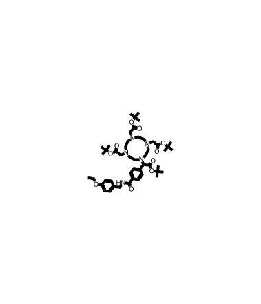 CCOc1ccc(CNC(=O)c2ccc(C(C(=O)OC(C)(C)C)N3CCN(CC(=O)OC(C)(C)C)CCN(CC(=O)OC(C)(C)C)CCN(CC(=O)OC(C)(C)C)CC3)cc2)cc1